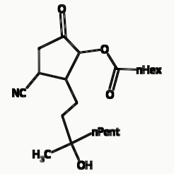 CCCCCCC(=O)OC1C(=O)CC(C#N)C1CCC(C)(O)CCCCC